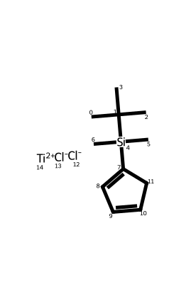 CC(C)(C)[Si](C)(C)C1=CC=CC1.[Cl-].[Cl-].[Ti+2]